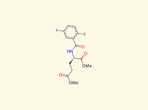 COC(=O)CC[C@@H](NC(=O)c1cc(I)ccc1F)C(=O)OC